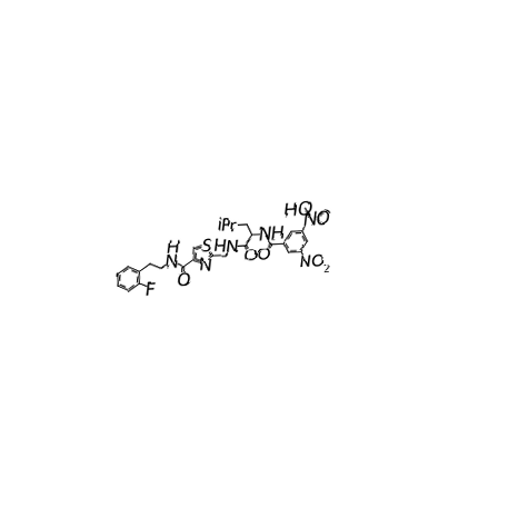 CC(C)CC(NC(=O)c1cc([N+](=O)[O-])cc([N+](=O)O)c1)C(=O)NCc1nc(C(=O)NCCc2ccccc2F)cs1